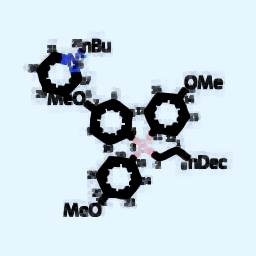 CCCCCCCCCCCC[B-](c1ccc(OC)cc1)(c1ccc(OC)cc1)c1ccc(OC)cc1.CCCC[n+]1ccccc1